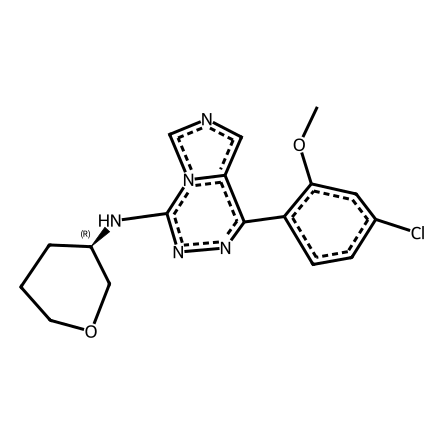 COc1cc(Cl)ccc1-c1nnc(N[C@@H]2CCCOC2)n2cncc12